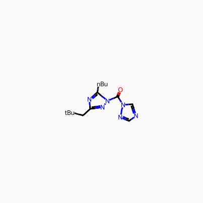 CCCCc1nc(CC(C)(C)C)nn1C(=O)n1cncn1